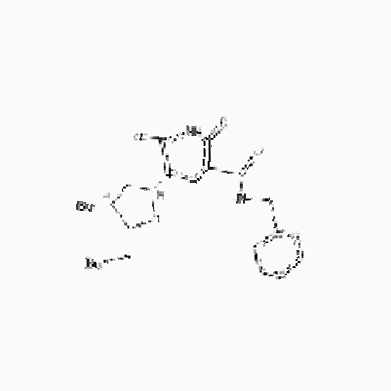 CC(C)(C)CC1O[C@@H](n2cc(C(=O)NCc3ccccc3)c(=O)[nH]c2=O)C[C@H]1C(C)(C)C